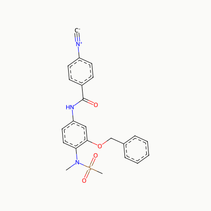 [C-]#[N+]c1ccc(C(=O)Nc2ccc(N(C)S(C)(=O)=O)c(OCc3ccccc3)c2)cc1